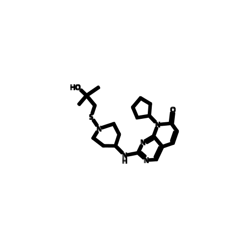 CC(C)(O)CSN1CCC(Nc2ncc3ccc(=O)n(C4CCCC4)c3n2)CC1